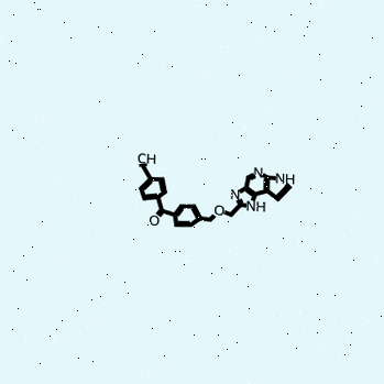 C#Cc1ccc(C(=O)c2ccc(COCc3nc4cnc5[nH]ccc5c4[nH]3)cc2)cc1